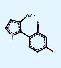 COc1cc[nH]c1-c1ccc(F)cc1F